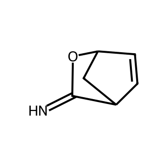 N=C1OC2C=CC1C2